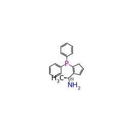 C[C@H](N)C1=C(P(c2ccccc2)c2ccccc2)CC=C1